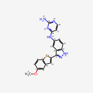 COc1ccc2sc(-c3n[nH]c4ccc(Nc5ccnc(N)n5)cc34)cc2c1